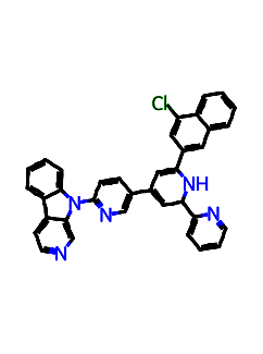 Clc1cc(C2=CC(c3ccc(-n4c5ccccc5c5ccncc54)nc3)=CC(c3ccccn3)N2)cc2ccccc12